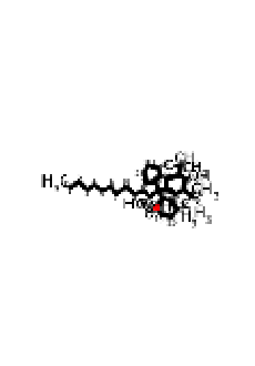 CCCCCCCCCCCC(C(c1ccccc1)(c1ccccc1)c1cc(C(C)(C)C)c(O)c(C(C)(C)C)c1)P(=O)(O)O